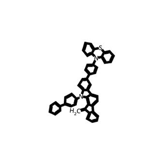 C=C1c2ccccc2-c2ccc3c4cc(-c5ccc(N6c7ccccc7Sc7ccccc76)cc5)ccc4n(-c4ccc(-c5ccccc5)cc4)c3c21